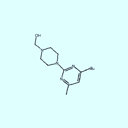 CCC(C)c1cc(C)nc(N2CCN(CO)CC2)n1